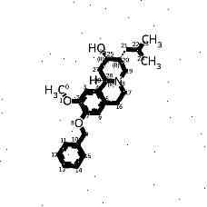 COc1cc2c(cc1OCc1ccccc1)CCN1C[C@@H](CC(C)C)[C@H](O)C[C@H]21